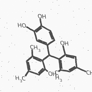 Cc1cc(C)c(C(c2ccc(O)c(O)c2)c2c(C)cc(C)cc2O)c(O)c1